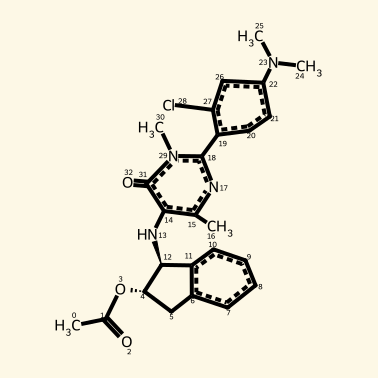 CC(=O)O[C@H]1Cc2ccccc2[C@@H]1Nc1c(C)nc(-c2ccc(N(C)C)cc2Cl)n(C)c1=O